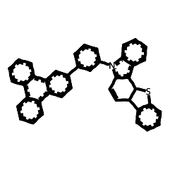 C1=CC2c3ccccc3SC2c2c1n(-c1cccc(-c3ccc4c5ccccc5c5ccccc5c4c3)c1)c1ccccc21